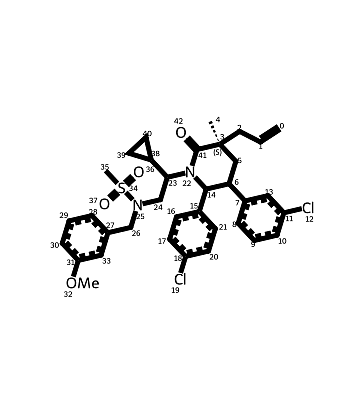 C=CC[C@@]1(C)CC(c2cccc(Cl)c2)C(c2ccc(Cl)cc2)N(C(CN(Cc2cccc(OC)c2)S(C)(=O)=O)C2CC2)C1=O